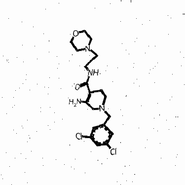 NC1=C(C(=O)NCCN2CCOCC2)CCN(Cc2cc(Cl)cc(Cl)c2)C1